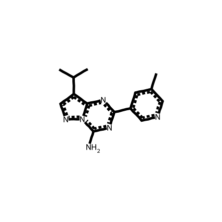 Cc1cncc(-c2nc(N)n3ncc(C(C)C)c3n2)c1